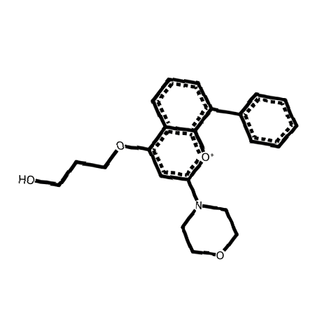 OCCCOc1cc(N2CCOCC2)[o+]c2c(-c3ccccc3)cccc12